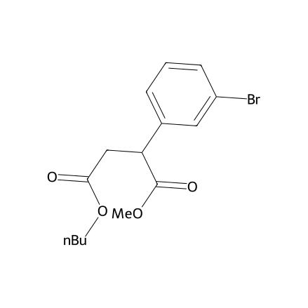 CCCCOC(=O)CC(C(=O)OC)c1cccc(Br)c1